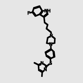 Cc1cc(C)nc(Sc2ccc(N3CCN(CCCCc4c[nH]c5ccc(F)cc45)CC3)cc2)n1